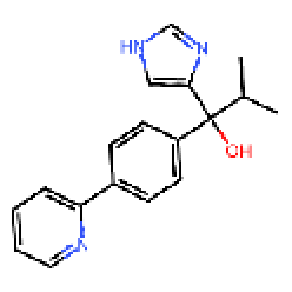 CC(C)C(O)(c1ccc(-c2ccccn2)cc1)c1c[nH]cn1